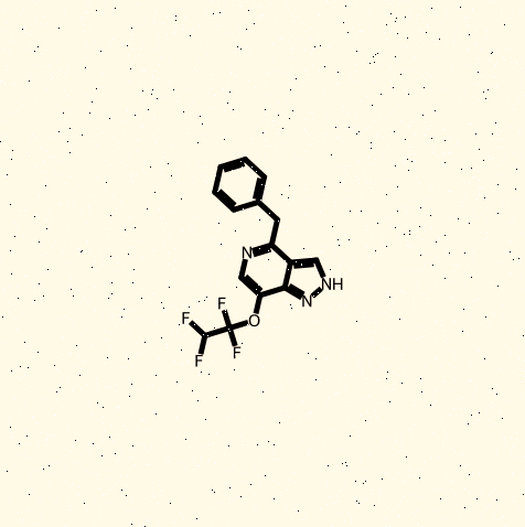 FC(F)C(F)(F)Oc1cnc(Cc2ccccc2)c2c[nH]nc12